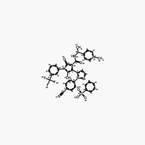 Cc1c(-c2ccnn2-c2ccc(C#N)cc2)n(C(=O)N[C@@H](C)c2cc[n+](C)cc2)c(=O)n1-c1cccc(C(F)(F)F)c1.O=S(=O)([O-])c1ccccc1